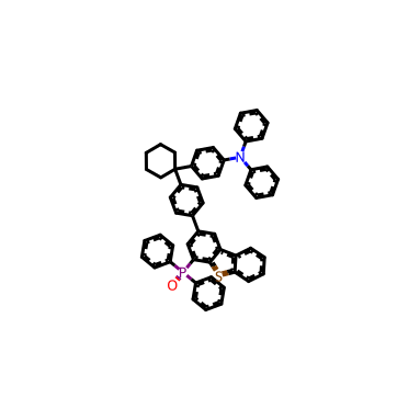 O=P(c1ccccc1)(c1ccccc1)c1cc(-c2ccc(C3(c4ccc(N(c5ccccc5)c5ccccc5)cc4)CCCCC3)cc2)cc2c1sc1ccccc12